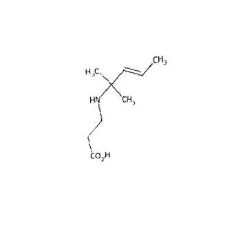 CC=CC(C)(C)NCCC(=O)O